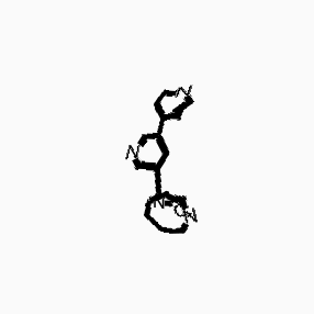 c1cc(-c2cncc(N3CCN4CCCC3CC4)c2)ccn1